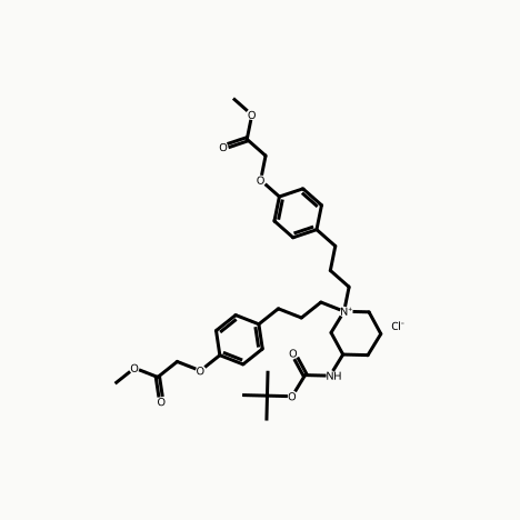 COC(=O)COc1ccc(CCC[N+]2(CCCc3ccc(OCC(=O)OC)cc3)CCCC(NC(=O)OC(C)(C)C)C2)cc1.[Cl-]